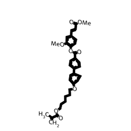 C=C(C)C(=O)OCCCCCCOc1ccc(-c2ccc(C(=O)Oc3ccc(C=CC(=O)OC)cc3OC)cc2)cc1